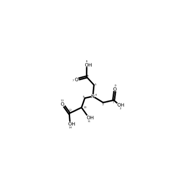 O=C(O)CN(CC(=O)O)CC(O)C(=O)O